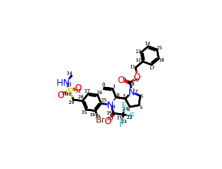 C=C[C@H](C1CCCN1C(=O)OCc1ccccc1)N(C(=O)C(F)(F)F)c1ccc(CS(=O)(=O)NC)cc1Br